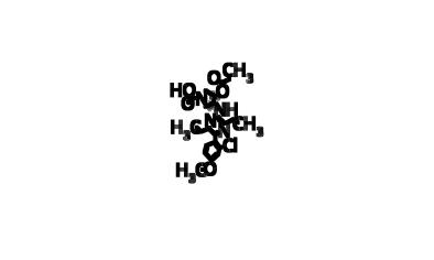 CCC(=O)O[C@H]1CN(C(=O)O)C[C@H]1Nc1nc(CC)c(-c2ccc(OC)cc2Cl)nc1CC